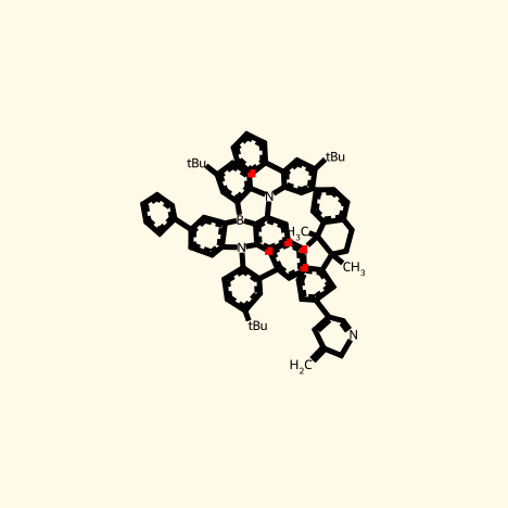 C=C1C=C(c2ccc3c(c2)C2(C)CCc4ccccc4C2(C)N3c2cc3c4c(c2)N(c2ccc(C(C)(C)C)cc2-c2ccccc2)c2ccc(C(C)(C)C)cc2B4c2cc(-c4ccccc4)ccc2N3c2ccc(C(C)(C)C)cc2-c2ccccc2)C=NC1